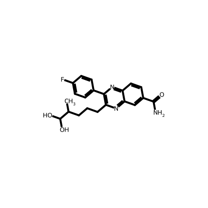 CC(CCCc1nc2cc(C(N)=O)ccc2nc1-c1ccc(F)cc1)C(O)O